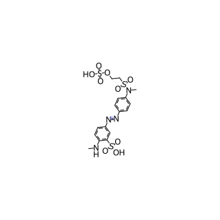 CNc1ccc(/N=N/c2ccc(N(C)S(=O)(=O)CCOS(=O)(=O)O)cc2)cc1S(=O)(=O)O